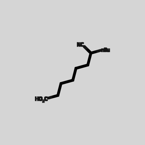 CCCCC(C#N)CCCCCC(=O)O